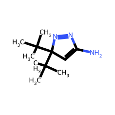 CC(C)(C)C1(C(C)(C)C)C=C(N)N=N1